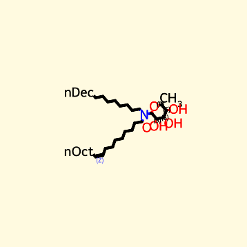 CCCCCCCC/C=C\CCCCCCCC(=O)N(CCCCCCCCCCCCCCCCCC)C1O[C@H](C)[C@@H](O)[C@H](O)[C@@H]1O